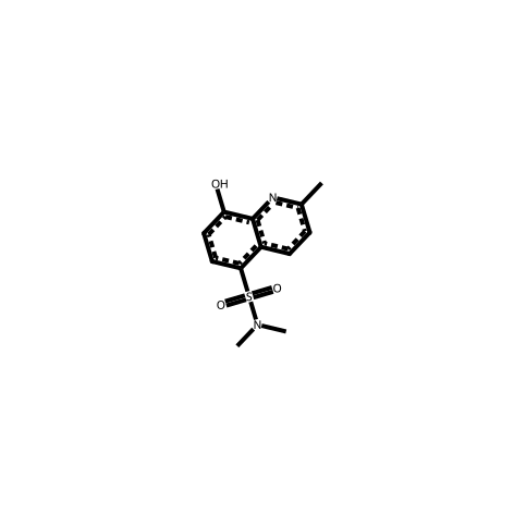 Cc1ccc2c(S(=O)(=O)N(C)C)ccc(O)c2n1